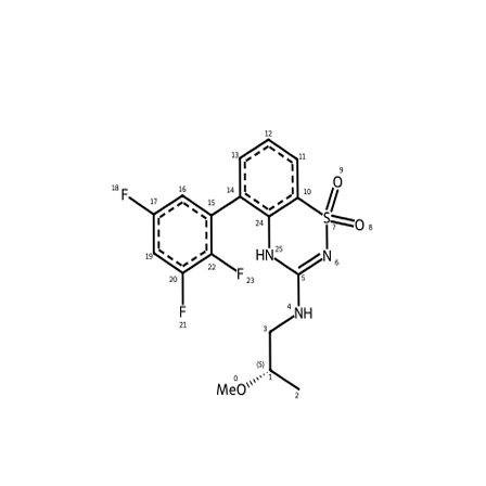 CO[C@@H](C)CNC1=NS(=O)(=O)c2cccc(-c3cc(F)cc(F)c3F)c2N1